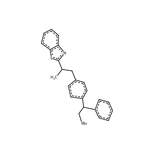 CC(Cc1ccc(C(CC(C)(C)C)c2ccccc2)cc1)c1nc2ccccc2s1